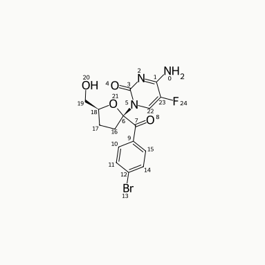 Nc1nc(=O)n([C@@]2(C(=O)c3ccc(Br)cc3)CC[C@@H](CO)O2)cc1F